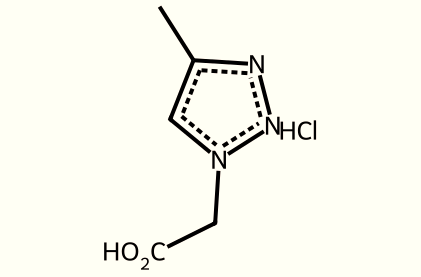 Cc1cn(CC(=O)O)nn1.Cl